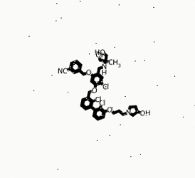 CC(CO)(CO)NCc1cc(Cl)c(OCc2cccc(-c3cccc(OCCCN4CCC(O)C4)c3Cl)c2Cl)cc1OCc1cccc(C#N)c1